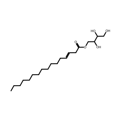 CCCCCCCCCCCCC=CCC(=O)OCC(O)C(O)CO